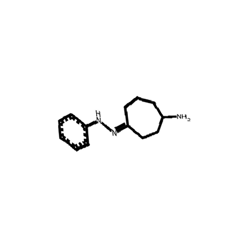 NC1CCCC(=NNc2ccccc2)CC1